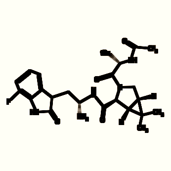 CC(C)(C)[C@H](NC(=O)C(F)(F)F)C(=O)N1C[C@H]2[C@@H]([C@H]1C(=O)N[C@H](N)CC1C(=O)Nc3c(F)cccc31)C2(C)C